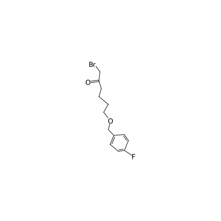 O=C(CBr)CCCCOCc1ccc(F)cc1